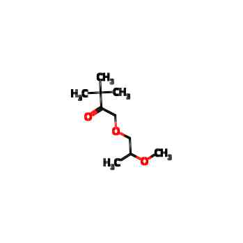 COC(C)COCC(=O)C(C)(C)C